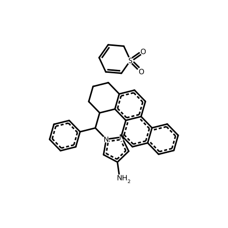 Nc1cnn(C(c2ccccc2)C2CCCc3ccc4c(ccc5ccccc54)c32)c1.O=S1(=O)C=CC=CC1